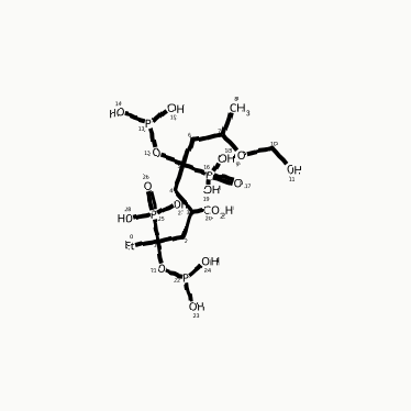 CCC(CC(CC(CC(C)OCO)(OP(O)O)P(=O)(O)O)C(=O)O)(OP(O)O)P(=O)(O)O